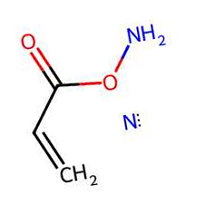 C=CC(=O)ON.[N]